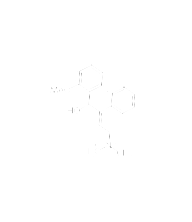 COc1ccccc1C(O)C(=CCN(C)C)c1ccccc1